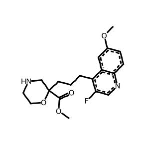 COC(=O)C1(CCCc2c(F)cnc3ccc(OC)cc23)CNCCO1